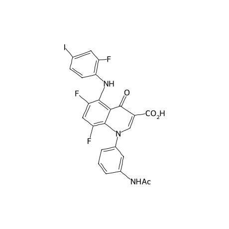 CC(=O)Nc1cccc(-n2cc(C(=O)O)c(=O)c3c(Nc4ccc(I)cc4F)c(F)cc(F)c32)c1